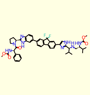 COC(=O)N[C@@H](C(=O)N1CCC[C@H]1c1nc2ccc(-c3ccc4c(c3)C(F)(F)c3cc(-c5c[nH]c([C@@H](NC[C@@H](NC(=O)OC)C(C)C)C(C)C)n5)ccc3-4)cc2[nH]1)c1ccccc1